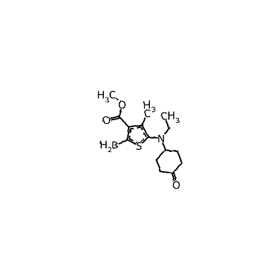 Bc1sc(N(CC)C2CCC(=O)CC2)c(C)c1C(=O)OC